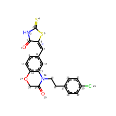 O=C1NC(=S)S/C1=C/c1ccc2c(c1)N(CCc1ccc(Cl)cc1)C(=O)CO2